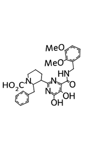 COc1cccc(CNC(=O)c2nc(C3CCCN(C(=O)O)C3Cc3ccccc3)nc(O)c2O)c1OC